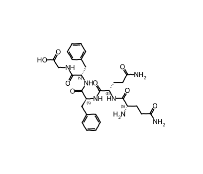 NC(=O)CC[C@H](NC(=O)[C@@H](N)CCC(N)=O)C(=O)N[C@@H](Cc1ccccc1)C(=O)N[C@@H](Cc1ccccc1)C(=O)NCC(=O)O